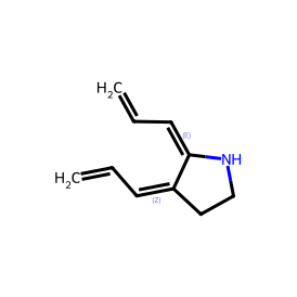 C=C/C=C1/CCN/C1=C/C=C